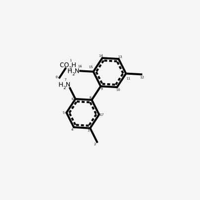 CC(=O)O.Cc1ccc(N)c(-c2cc(C)ccc2N)c1